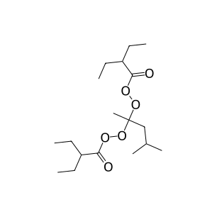 CCC(CC)C(=O)OOC(C)(CC(C)C)OOC(=O)C(CC)CC